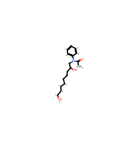 CC(=O)N(CC(O)CCCCCCCO)c1ccccc1